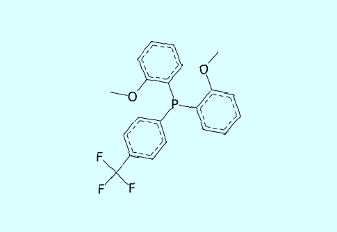 COc1ccccc1P(c1ccc(C(F)(F)F)cc1)c1ccccc1OC